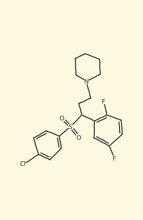 O=S(=O)(c1ccc(Cl)cc1)C(CCN1CCCCC1)c1cc(F)ccc1F